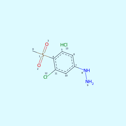 CS(=O)(=O)c1ccc(NN)cc1Cl.Cl